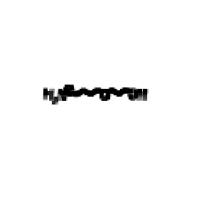 NOCCCCOCCCO